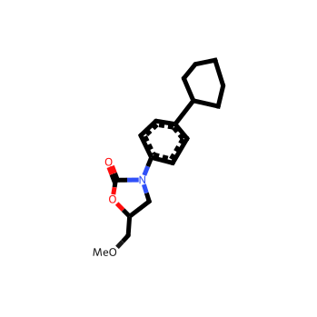 COCC1CN(c2ccc(C3CCCCC3)cc2)C(=O)O1